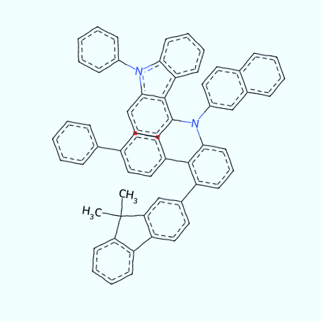 CC1(C)c2ccccc2-c2ccc(-c3cccc(N(c4ccc5ccccc5c4)c4cccc5c4c4ccccc4n5-c4ccccc4)c3-c3ccc(-c4ccccc4)cc3)cc21